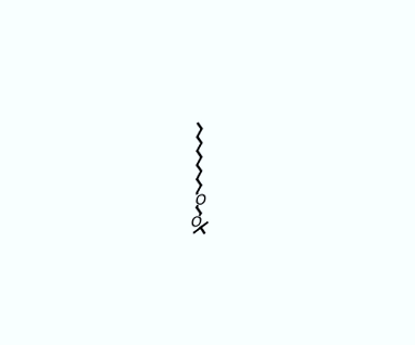 CCCCCCCCCCCOCCOC(C)(C)C